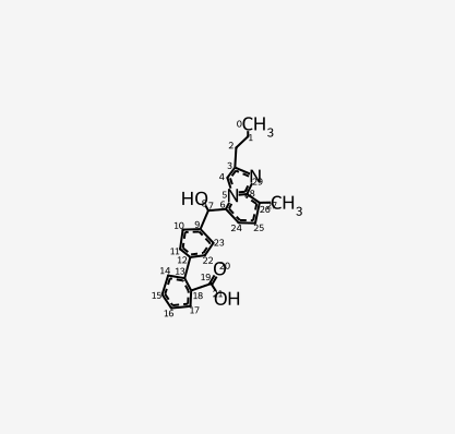 CCCc1cn2c(C(O)c3ccc(-c4ccccc4C(=O)O)cc3)ccc(C)c2n1